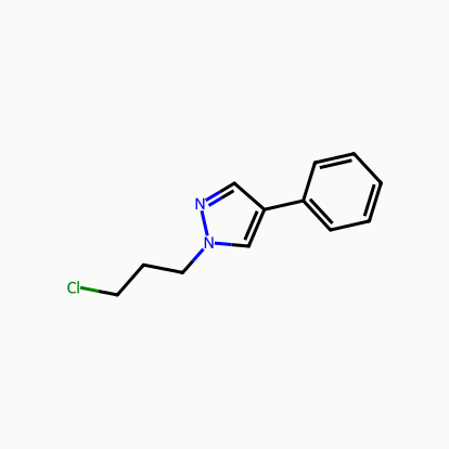 ClCCCn1cc(-c2ccccc2)cn1